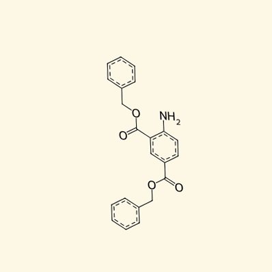 Nc1ccc(C(=O)OCc2ccccc2)cc1C(=O)OCc1ccccc1